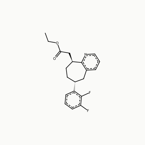 CCOC(=O)C[C@@H]1CC[C@@H](c2cccc(F)c2F)Cc2cccnc21